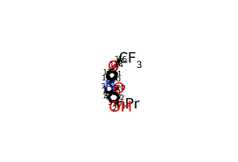 CCCC1(O)CCC2(CCN(c3ccc(OCCC(F)(F)F)cc3)C2=O)CC1